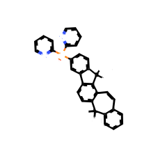 CC1(C)c2ccccc2C=Cc2c1ccc1c2C(C)(C)c2ccc(P(=O)(c3ccccn3)c3ccccn3)cc2-1